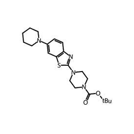 CC(C)(C)OC(=O)N1CCN(c2nc3ccc(N4CCCCC4)cc3s2)CC1